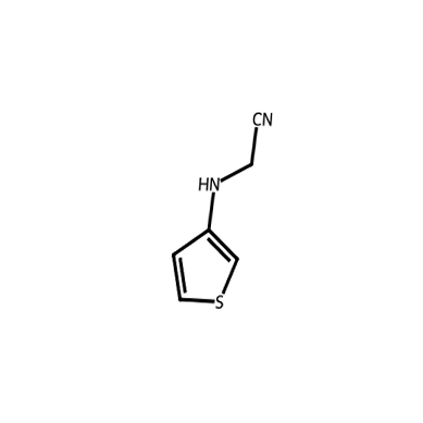 N#CCNc1ccsc1